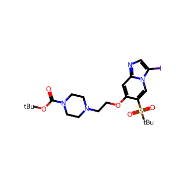 CC(C)(C)OC(=O)N1CCN(CCOc2cc3ncc(I)n3cc2S(=O)(=O)C(C)(C)C)CC1